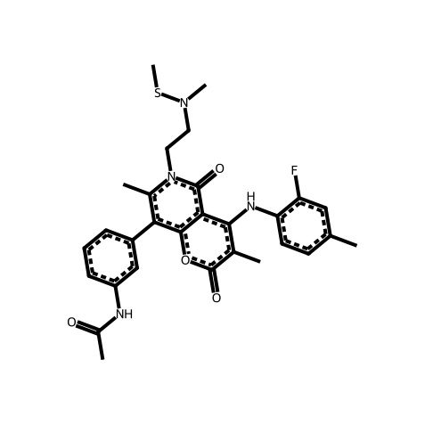 CSN(C)CCn1c(C)c(-c2cccc(NC(C)=O)c2)c2oc(=O)c(C)c(Nc3ccc(C)cc3F)c2c1=O